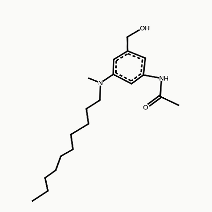 CCCCCCCCCCN(C)c1cc(CO)cc(NC(C)=O)c1